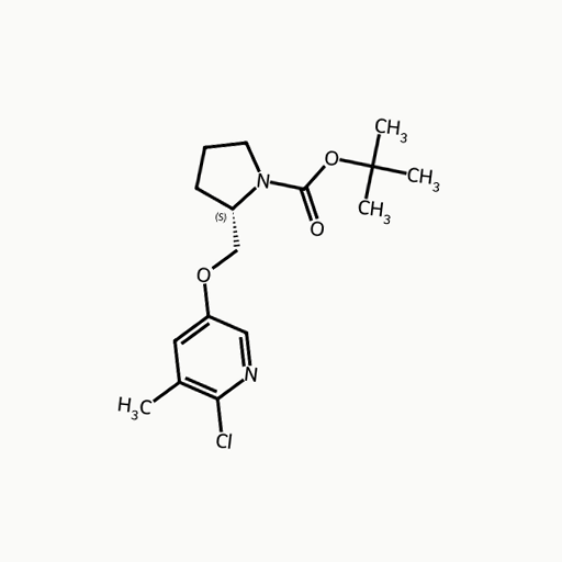 Cc1cc(OC[C@@H]2CCCN2C(=O)OC(C)(C)C)cnc1Cl